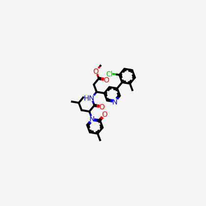 COC(=O)CC(NC(=O)C(CC(C)C)n1ccc(C)cc1=O)c1cncc(-c2c(C)cccc2Cl)c1